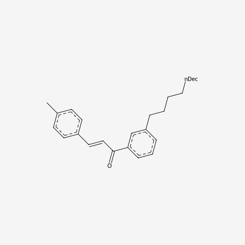 CCCCCCCCCCCCCCc1cccc(C(=O)C=Cc2ccc(C)cc2)c1